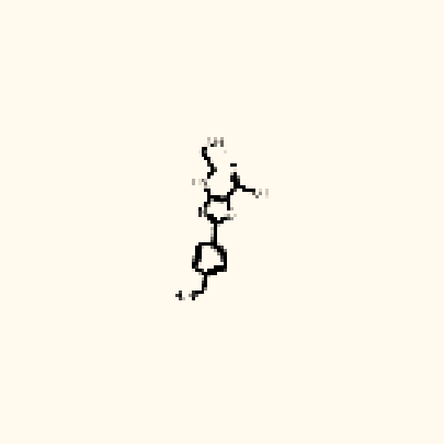 NCCNc1nc(-c2ccc(CN)cc2)sc1C(=O)O